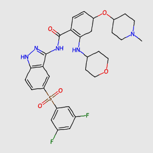 CN1CCC(OC2C=CC(C(=O)Nc3n[nH]c4ccc(S(=O)(=O)c5cc(F)cc(F)c5)cc34)=C(NC3CCOCC3)C2)CC1